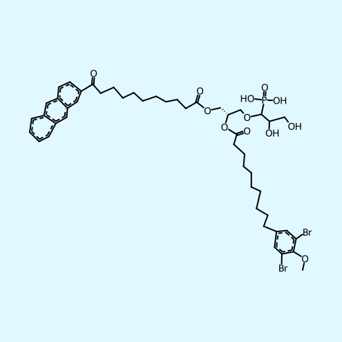 COc1c(Br)cc(CCCCCCCCCC(=O)O[C@H](COC(=O)CCCCCCCCCC(=O)c2ccc3cc4ccccc4cc3c2)COC(C(O)CO)P(=O)(O)O)cc1Br